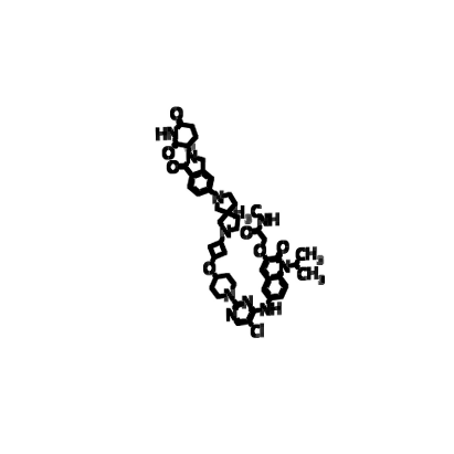 CNC(=O)COc1cc2cc(Nc3nc(N4CCC(OC5CC(N6CCC7(CCN(c8ccc9c(c8)CN([C@@H]8CCC(=O)NC8=O)C9=O)C7)C6)C5)CC4)ncc3Cl)ccc2n(C(C)C)c1=O